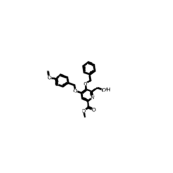 COC(=O)c1cc(OCc2ccc(OC)cc2)c(OCc2ccccc2)c(CO)n1